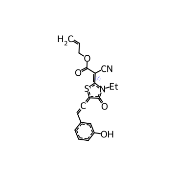 C=CCOC(=O)/C(C#N)=c1\sc(=C=Cc2cccc(O)c2)c(=O)n1CC